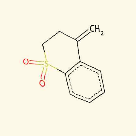 C=C1CCS(=O)(=O)c2ccccc21